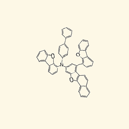 c1ccc(-c2ccc(N(c3cc(-c4cccc5c4oc4ccccc45)c4c(c3)oc3c5ccccc5ccc34)c3cccc4c3oc3ccccc34)cc2)cc1